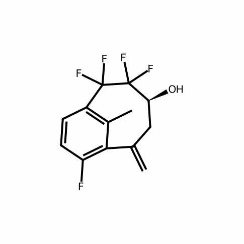 C=C1C[C@H](O)C(F)(F)C(F)(F)c2ccc(F)c1c2C